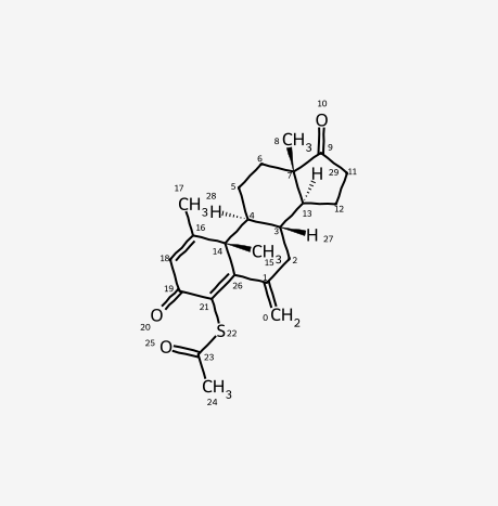 C=C1C[C@@H]2[C@H](CC[C@]3(C)C(=O)CC[C@@H]23)[C@@]2(C)C(C)=CC(=O)C(SC(C)=O)=C12